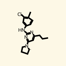 CCCc1cc(N2[CH]CCC2)nc(Nc2ccc(C)c(Cl)c2)n1